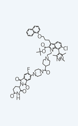 Cc1nn(C)c(C)c1-c1c(Cl)ccc2c(CCCOc3cccc4ccccc34)c(C(=O)OC(C)(C)C)n(CCN3CCC(C(=O)N4CCN(c5cc6c(cc5F)C(=O)N(C5CCC(=O)NC5=O)C6=O)CC4)CC3)c12